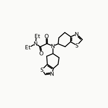 CCN(CC)C(=O)C(=O)N(C1CCc2ncsc2C1)C1CCc2ncsc2C1